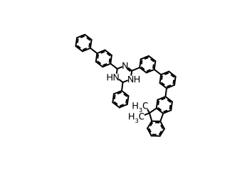 CC1(C)c2ccccc2-c2ccc(-c3cccc(-c4cccc(C5=NC(c6ccc(-c7ccccc7)cc6)NC(c6ccccc6)N5)c4)c3)cc21